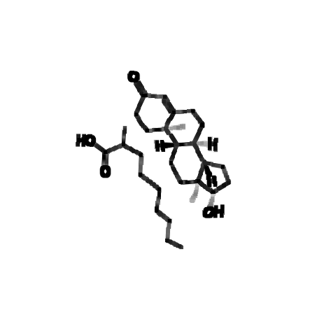 CCCCCCCC(C)C(=O)O.C[C@]12CC[C@H]3[C@@H](CCC4=CC(=O)CC[C@@]43C)[C@@H]1CC[C@@H]2O